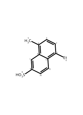 CCc1ccc(C)c2cc(S(=O)(=O)O)ccc12